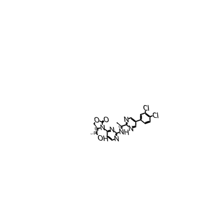 C[C@H](Nc1nccc(N2C(=O)OC[C@@H]2[C@@H](C)O)n1)c1ncc(-c2ccc(Cl)c(Cl)c2)cn1